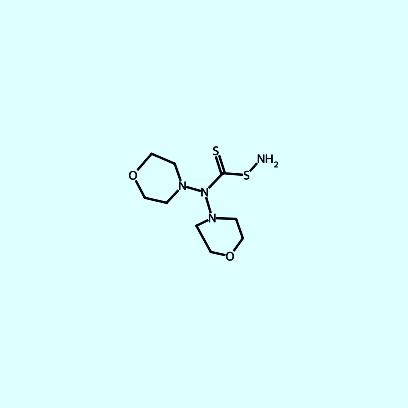 NSC(=S)N(N1CCOCC1)N1CCOCC1